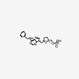 O=[PH](O)OC[C@@H]1CC[C@H](Cn2cnc3c(NCc4ccccc4)ncnc32)O1